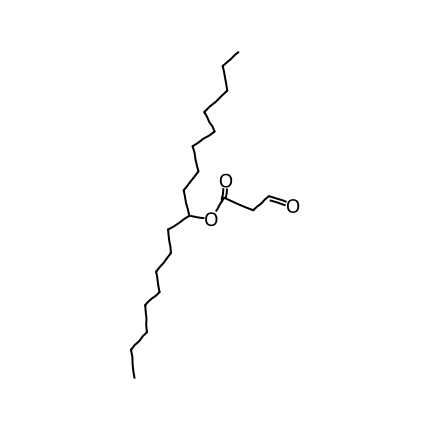 CCCCCCCCC(CCCCCCCC)OC(=O)CC=O